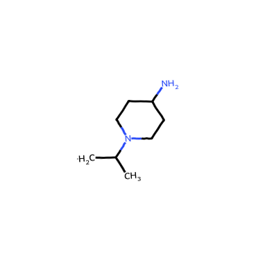 [CH2]C(C)N1CCC(N)CC1